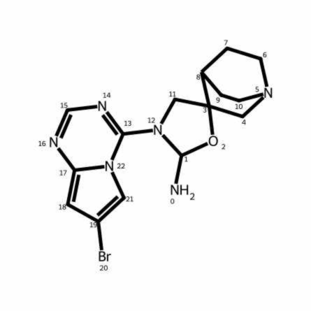 NC1OC2(CN3CCC2CC3)CN1c1ncnc2cc(Br)cn12